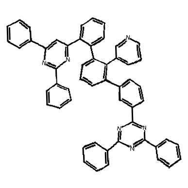 c1ccc(-c2cc(-c3ccccc3-c3cccc(-c4cccc(-c5nc(-c6ccccc6)nc(-c6ccccc6)n5)c4)c3-c3cccnc3)nc(-c3ccccc3)n2)cc1